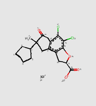 CC1(C2CCCC2)Cc2c3c(c(Cl)c(Cl)c2C1=O)OC(C(=O)[O-])C3.[Na+]